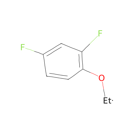 C[CH]Oc1ccc(F)cc1F